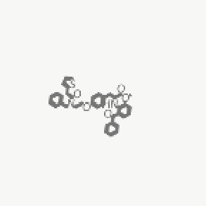 COC(=O)C(Cc1ccc(OCCN(Cc2ccccc2)C(=O)Cc2cccs2)cc1)Nc1ccccc1C(=O)c1ccccc1